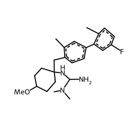 COC1CCC(Cc2ccc(-c3cc(F)ccc3C)cc2C)(NC(N)N(C)C)CC1